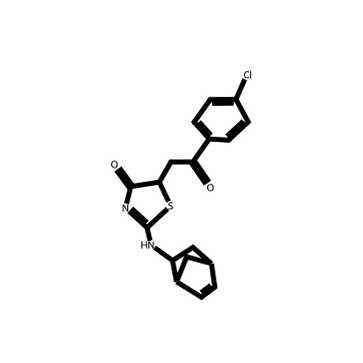 O=C(CC1SC(NC2CC3C=CC2C3)=NC1=O)c1ccc(Cl)cc1